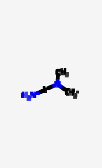 [CH2][N](C)[Ir][NH2]